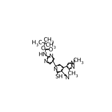 Cc1nn(C)cc1-c1cc(-c2cnc(NC(=O)OC(C)(C)C)nc2)nc(S)c1C#N